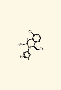 CC/C=C1\c2cccc(Cl)c2N=C(CCC)N1c1cn[nH]c1